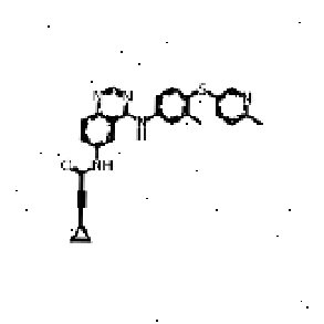 Cc1ccc(Sc2ccc(Nc3ncnc4ccc(NC(=O)C#CC5CC5)cc34)cc2C)cn1